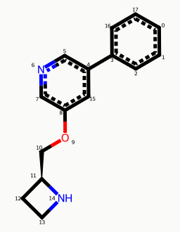 c1ccc(-c2cncc(OC[C@@H]3CCN3)c2)cc1